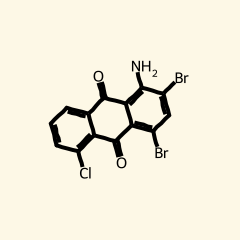 Nc1c(Br)cc(Br)c2c1C(=O)c1cccc(Cl)c1C2=O